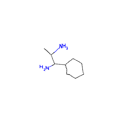 CC(N)C(N)C1CCCCC1